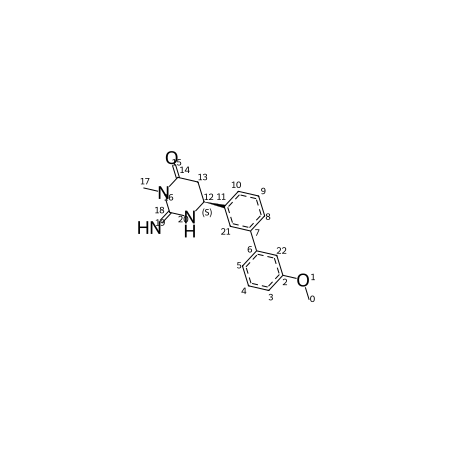 COc1cccc(-c2cccc([C@@H]3CC(=O)N(C)C(=N)N3)c2)c1